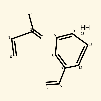 C=CC(=C)C.C=Cc1ccccc1.[HH]